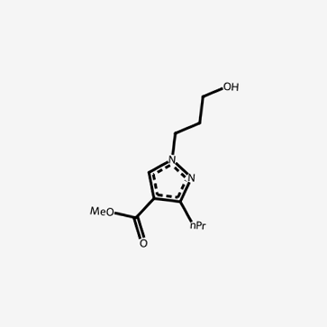 CCCc1nn(CCCO)cc1C(=O)OC